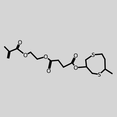 C=C(C)C(=O)OCCOC(=O)CCC(=O)OC1CSCCC(C)SC1